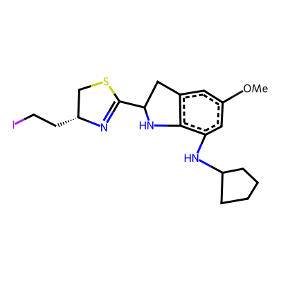 COc1cc2c(c(NC3CCCC3)c1)NC(C1=N[C@H](CCI)CS1)C2